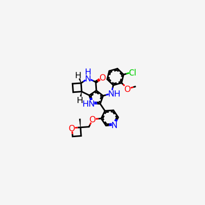 COc1c(Cl)cccc1Nc1c(-c2ccncc2OC[C@]2(C)CCO2)[nH]c2c1C(=O)N[C@H]1CC[C@@H]21